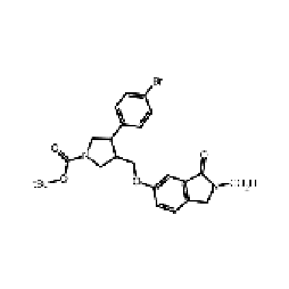 CC(C)(C)OC(=O)N1CC(COc2ccc3c(c2)C(=O)N(C(=O)O)C3)C(c2ccc(Br)cc2)C1